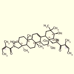 C/C=C(/C)C(=O)NC[C@@]12C(CC(C)(C)[C@@H](O)[C@@H]1O)C1=CCC3[C@@]4(C)CC[C@H](O)[C@](C)(CNC(=O)/C(C)=C\C)C4CC[C@@]3(C)[C@]1(C)C[C@H]2O